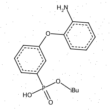 CCC(C)OP(=O)(O)c1cccc(Oc2ccccc2N)c1